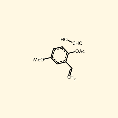 C=Cc1cc(OC)ccc1OC(C)=O.O=CO